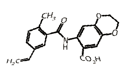 C=Cc1ccc(C)c(C(=O)Nc2cc3c(cc2C(=O)O)OCCO3)c1